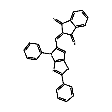 S=C1C(=Cc2cc3sc(-c4ccccc4)nc3n2-c2ccccc2)C(=S)c2ccccc21